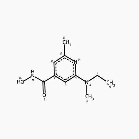 CCN(C)c1cc(C(=O)NO)cc(C)n1